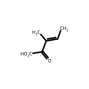 C/C=C(\C)C(=O)C(=O)O